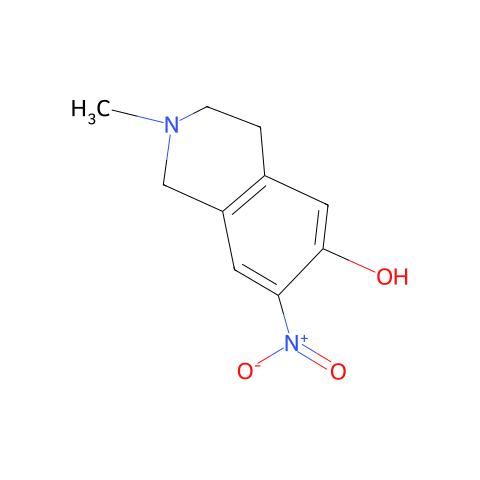 CN1CCc2cc(O)c([N+](=O)[O-])cc2C1